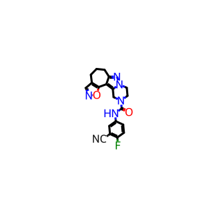 N#Cc1cc(NC(=O)N2CCn3nc4c(c3C2)-c2oncc2CCC4)ccc1F